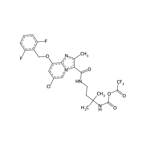 Cc1nc2c(OCc3c(F)cccc3F)cc(Cl)cn2c1C(=O)NCCC(C)(C)NC(=O)OC(=O)C(F)(F)F